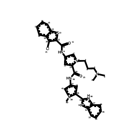 CN(C)CCCn1cc(NC(=O)c2sc3ccccc3c2Cl)cc1C(=O)Nc1cc(-c2nc3ccccc3[nH]2)n(C)c1